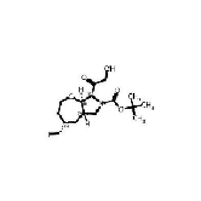 CC(C)(C)OC(=O)N1C[C@@H]2C[C@H](CI)CCO[C@H]2[C@H]1C(=O)CO